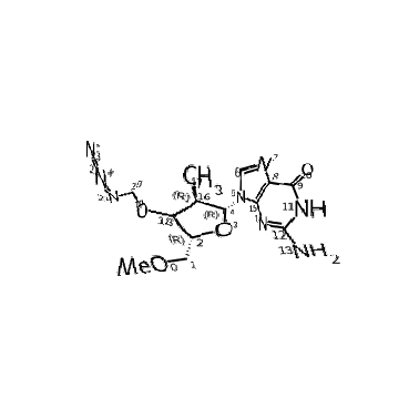 COC[C@H]1O[C@@H](n2cnc3c(=O)[nH]c(N)nc32)[C@H](C)C1OCN=[N+]=[N-]